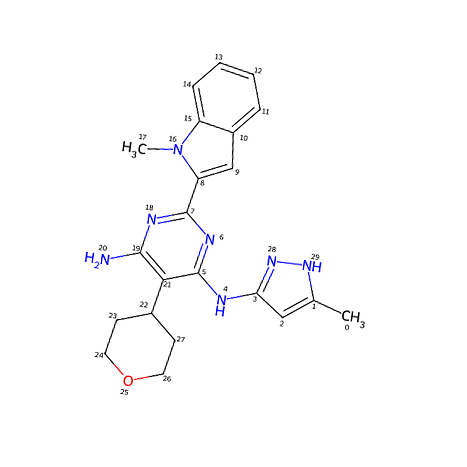 Cc1cc(Nc2nc(-c3cc4ccccc4n3C)nc(N)c2C2CCOCC2)n[nH]1